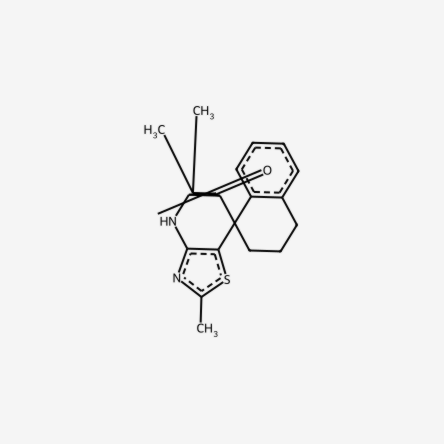 Cc1nc2c(s1)C1(CCCc3ccccc31)C1C(=O)CC(C)(C)CC1N2